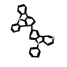 c1ccc(-n2c3ccncc3c3cc(-c4ccc5c6ccccc6n6c7ccccc7c4c56)ccc32)cc1